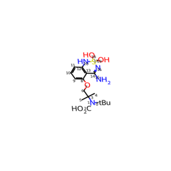 CC(C)(C)N(C(=O)O)C(C)(C)COc1cccc2c1C(N)=NS(O)(O)N2